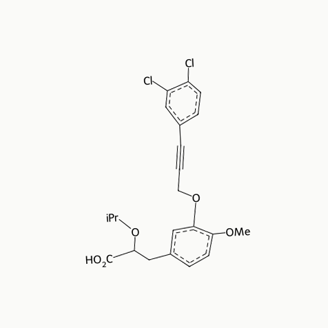 COc1ccc(CC(OC(C)C)C(=O)O)cc1OCC#Cc1ccc(Cl)c(Cl)c1